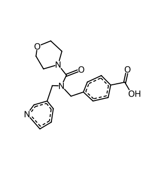 O=C(O)c1ccc(CN(Cc2cccnc2)C(=O)N2CCOCC2)cc1